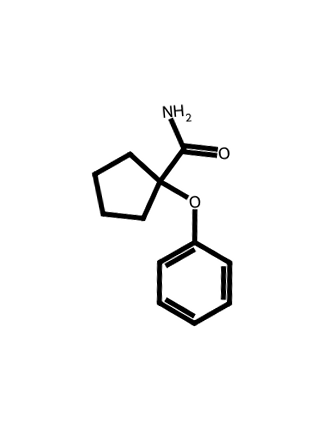 NC(=O)C1(Oc2ccccc2)CCCC1